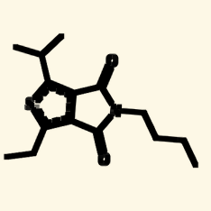 CCCCN1C(=O)c2c(CC)sc(C(C)C)c2C1=O